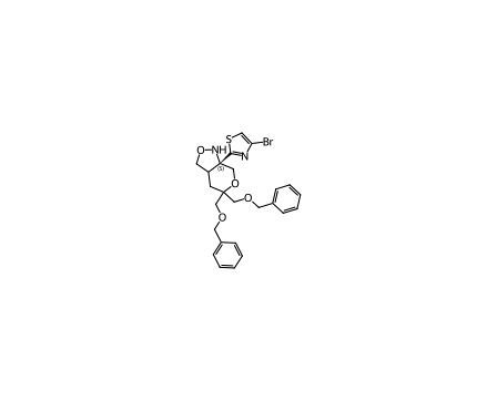 Brc1csc([C@@]23COC(COCc4ccccc4)(COCc4ccccc4)CC2CON3)n1